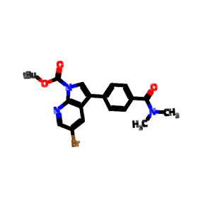 CN(C)C(=O)c1ccc(-c2cn(C(=O)OC(C)(C)C)c3ncc(Br)cc23)cc1